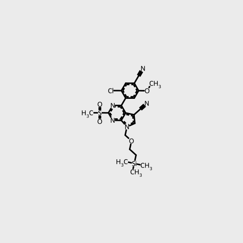 COc1cc(-c2nc(S(C)(=O)=O)nc3c2c(C#N)cn3COCC[Si](C)(C)C)c(Cl)cc1C#N